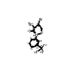 O=c1c(Br)c(Br)cnn1-c1cccc(C(F)(F)F)c1